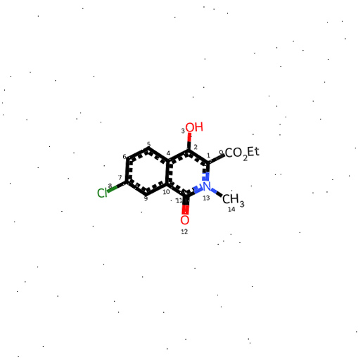 CCOC(=O)c1c(O)c2ccc(Cl)cc2c(=O)n1C